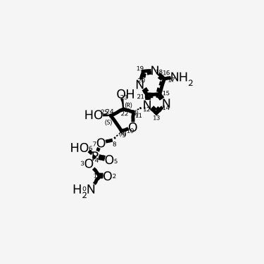 NC(=O)OP(=O)(O)OC[C@H]1O[C@@H](n2cnc3c(N)ncnc32)[C@H](O)[C@@H]1O